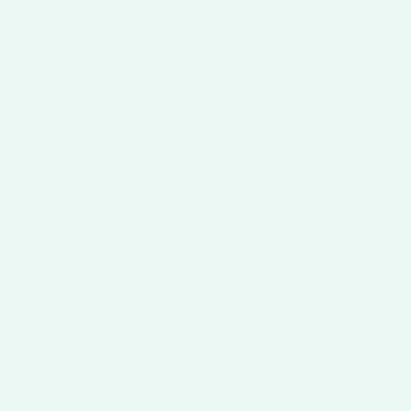 CCc1c[c]cc(Cl)c1Cl